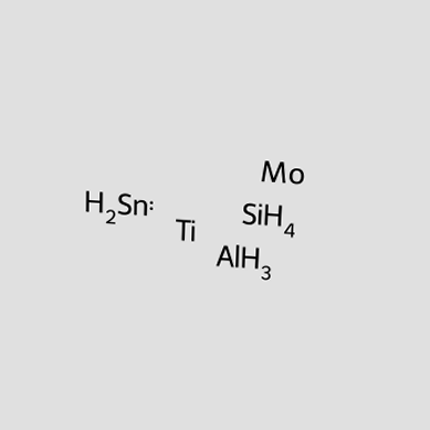 [AlH3].[Mo].[SiH4].[SnH2].[Ti]